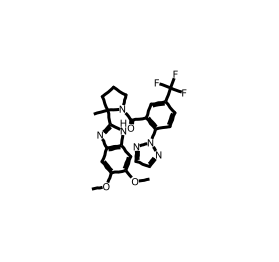 COc1cc2nc(C3(C)CCCN3C(=O)c3cc(C(F)(F)F)ccc3-n3nccn3)[nH]c2cc1OC